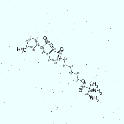 Cc1cccc(-c2cc3ccn(CCCCCCOC(=O)C(C)(N)CN)c(=O)c3oc2=O)c1